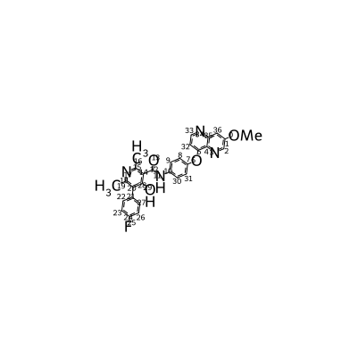 COc1cnc2c(Oc3ccc(NC(=O)c4c(C)nc(C)c(-c5ccc(F)cc5)c4O)cc3)ccnc2c1